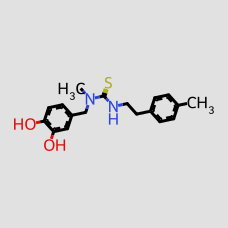 Cc1ccc(CCNC(=S)N(C)Cc2ccc(O)c(O)c2)cc1